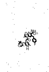 C[C@@H]1CN(CC(=O)N2c3cc(Cc4ccc(F)cc4)c(C(N)=O)nc3OC[C@@H]2C)[C@@H](CN2[C@H](C)COCC2(C)C)CN1